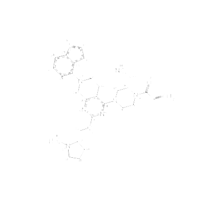 C=CC(=O)N1CCN(c2nc(OC[C@@H]3CCCN3C)nc3c2CCN(c2cccc4sccc24)C3)C[C@@H]1CC#N